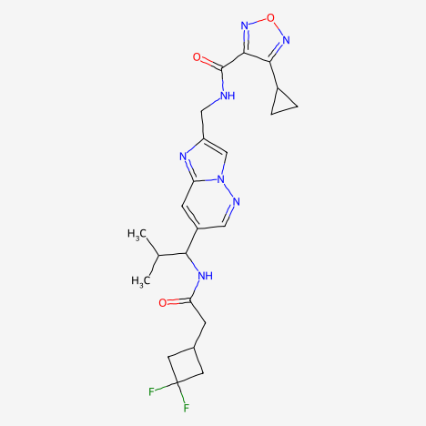 CC(C)C(NC(=O)CC1CC(F)(F)C1)c1cnn2cc(CNC(=O)c3nonc3C3CC3)nc2c1